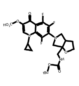 CC(C)(C)OC(=O)NCC12CN(c3c(F)c(F)c4c(=O)c(OC(=O)O)cn(C5CC5)c4c3F)CC1CCO2